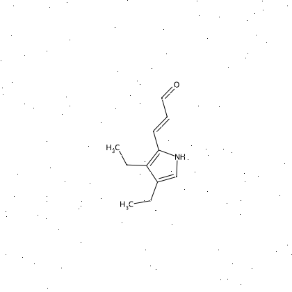 CCc1c[nH]c(/C=C/C=O)c1CC